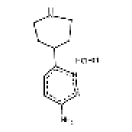 Cl.Cl.Nc1ccc(C2CCNCC2)nn1